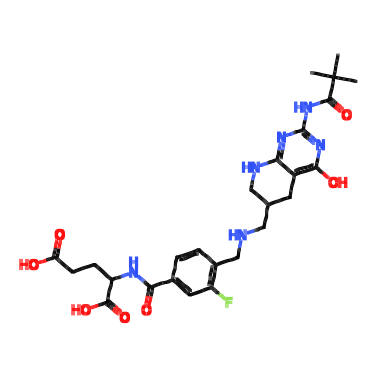 CC(C)(C)C(=O)Nc1nc(O)c2c(n1)NCC(CNCc1ccc(C(=O)NC(CCC(=O)O)C(=O)O)cc1F)C2